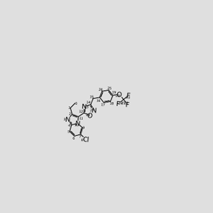 CCc1nc2ccc(Cl)cn2c1-c1nc(Cc2ccc(OC(F)(F)F)cc2)no1